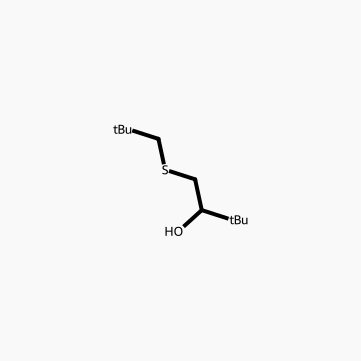 CC(C)(C)CSCC(O)C(C)(C)C